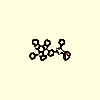 c1ccc(-c2nc(-c3cccc(-n4c5ccccc5c5c6c7ccccc7sc6c6c(c7ccccc7n6-c6ccccc6)c54)c3)nc(C34CC5CC(CC(C5)C3)C4)n2)cc1